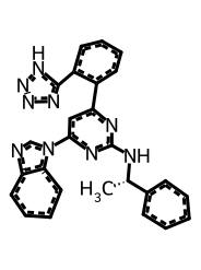 C[C@H](Nc1nc(-c2ccccc2-c2nnn[nH]2)cc(-n2cnc3ccccc32)n1)c1ccccc1